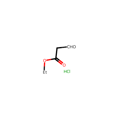 CCOC(=O)CC=O.Cl